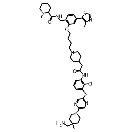 Cc1ncsc1-c1ccc(CNC(=O)C2CCCCN2C)c(OCCCCN2CCC(CC(=O)Nc3cccc(Sc4cnc(N5CCC(C)(CN)CC5)cn4)c3Cl)CC2)c1